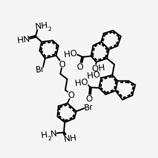 N=C(N)c1ccc(OCCCOc2ccc(C(=N)N)cc2Br)c(Br)c1.O=C(O)c1cc2ccccc2c(Cc2c(O)c(C(=O)O)cc3ccccc23)c1O